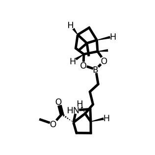 COC(=O)[C@]12CC[C@@H](CN1)[C@@H]2CCCB1O[C@@H]2C[C@@H]3C[C@@H](C3(C)C)[C@]2(C)O1